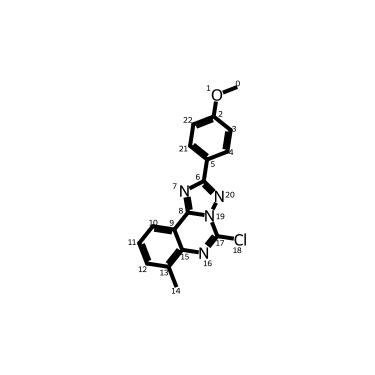 COc1ccc(-c2nc3c4cccc(C)c4nc(Cl)n3n2)cc1